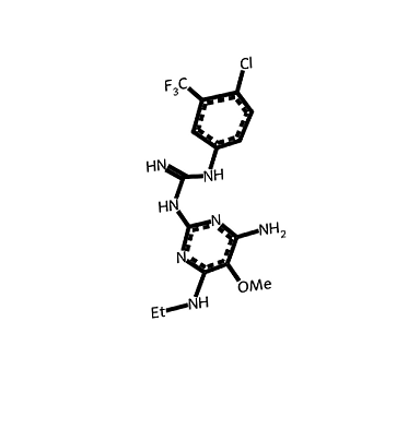 CCNc1nc(NC(=N)Nc2ccc(Cl)c(C(F)(F)F)c2)nc(N)c1OC